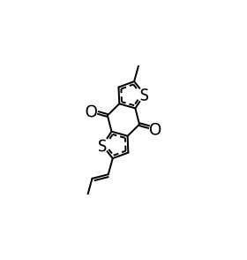 C/C=C/c1cc2c(s1)C(=O)c1cc(C)sc1C2=O